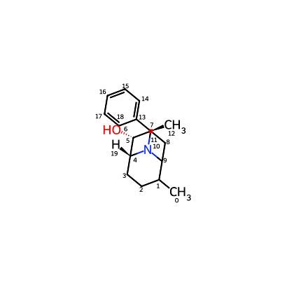 CC1CC[C@@H]2[C@H](O)CCC1N2[C@H](C)c1ccccc1